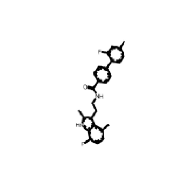 Cc1ccc(-c2ccc(C(=O)NCCc3c(C)[nH]c4c(F)ccc(C)c34)cc2)c(F)c1